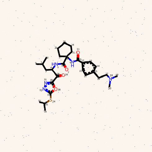 CC(C)CC(NC(=O)C1(NC(=O)c2ccc(CCN(C)C)cc2)CCCCC1)C(=O)c1nnc(SC(C)C)o1